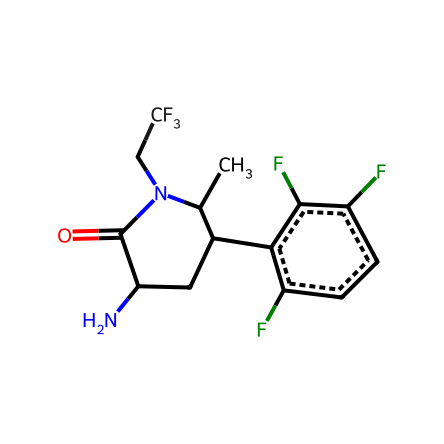 CC1C(c2c(F)ccc(F)c2F)CC(N)C(=O)N1CC(F)(F)F